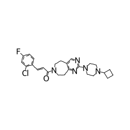 O=C(C=Cc1ccc(F)cc1Cl)N1CCc2cnc(N3CCN(C4CCC4)CC3)nc2CC1